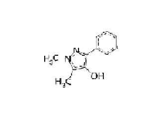 Cc1c(O)c(-c2ccccc2)nn1C